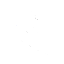 C=N/C(=C1/C(N)=NC=C2/C=C/CCOCCC(=O)N[C@@H]3CC[C@H](C3)N21)c1cnc2[nH]ccc2c1